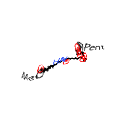 CCCCCC1OC(C)(C)OC1CC1OC(C)(C)OC1CCCCCCCC(=O)NCCCCCCCCCCCC(=O)OC